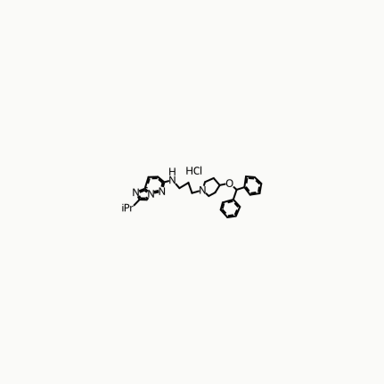 CC(C)c1cn2nc(NCCCN3CCC(OC(c4ccccc4)c4ccccc4)CC3)ccc2n1.Cl